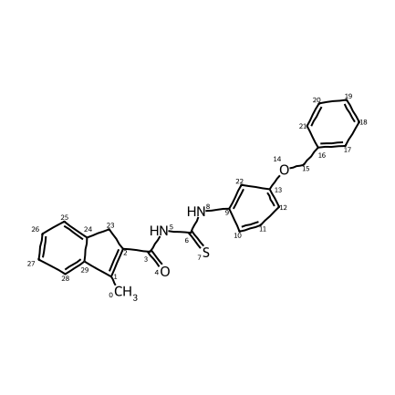 CC1=C(C(=O)NC(=S)Nc2cccc(OCc3ccccc3)c2)Cc2ccccc21